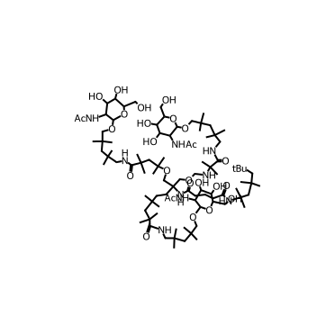 CC(=O)NC1C(OCC(C)(C)CC(C)(C)CNC(=O)C(C)(C)CC(C)(C)CCC(COCNC(C)(C)C(=O)NCC(C)(C)CC(C)(C)COC2OC(CO)C(O)C(O)C2NC(C)=O)(COC(C)(C)CC(C)(C)C(=O)NCC(C)(C)CC(C)(C)COC2OC(CO)C(O)C(O)C2NC(C)=O)NC(=O)CCCC(=O)NC(C)(C)CC(C)(C)CC(C)(C)C)OC(CO)C(O)C1O